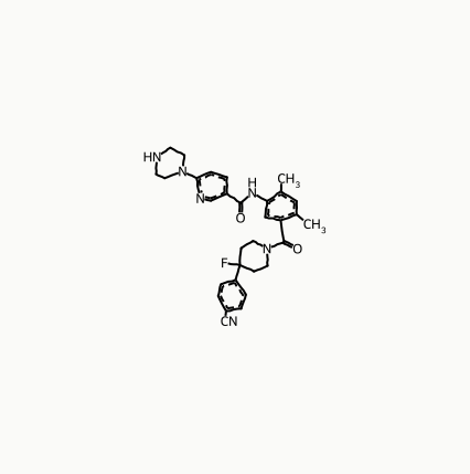 Cc1cc(C)c(C(=O)N2CCC(F)(c3ccc(C#N)cc3)CC2)cc1NC(=O)c1ccc(N2CCNCC2)nc1